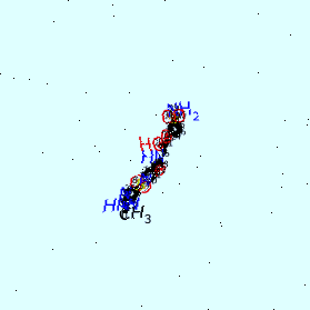 Cc1nc2cc(S(=O)(=O)N3CCC4(CC3)C[C@@H](NCC(O)COc3cccc(S(N)(=O)=O)c3)CO4)cnc2[nH]1